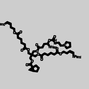 CCCCC/C=C\CCOC(=O)CCCCC(=O)OCC(COC(=O)CCCCC(=O)OCC/C=C\CCCCC)(COC(=O)CCC(CCCCCC)OC(=O)NCCN1CCCC1)COC(=O)C12CCCC1C2